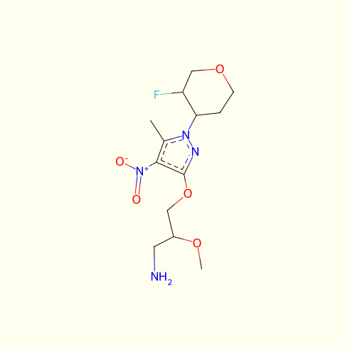 COC(CN)COc1nn(C2CCOCC2F)c(C)c1[N+](=O)[O-]